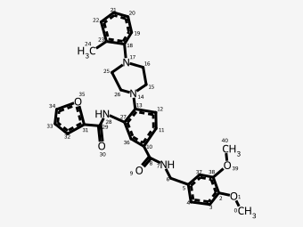 COc1ccc(CNC(=O)c2ccc(N3CCN(c4ccccc4C)CC3)c(NC(=O)c3ccco3)c2)cc1OC